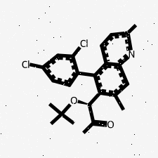 CC(=O)[C@@H](OC(C)(C)C)c1c(C)cc2nc(C)ccc2c1-c1ccc(Cl)cc1Cl